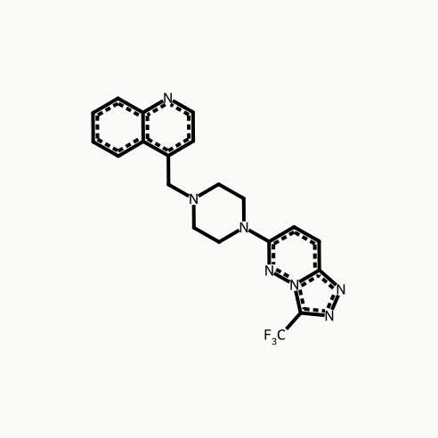 FC(F)(F)c1nnc2ccc(N3CCN(Cc4ccnc5ccccc45)CC3)nn12